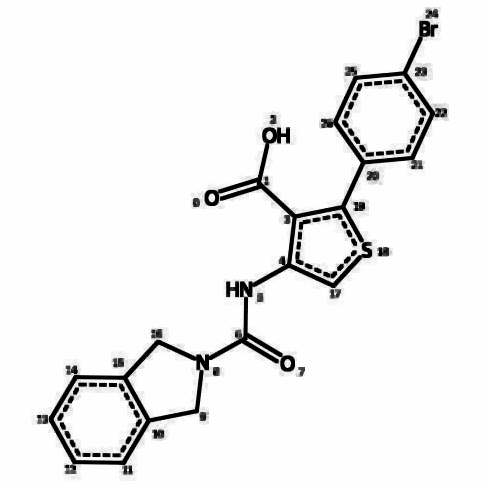 O=C(O)c1c(NC(=O)N2Cc3ccccc3C2)csc1-c1ccc(Br)cc1